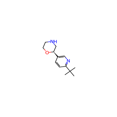 CC(C)(C)c1ccc([C@@H]2CNCCO2)cn1